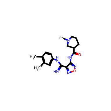 CCN1CCCC(C(=O)Nc2nonc2C(=N)Nc2ccc(C)c(C)c2)C1